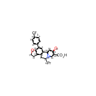 CC(C)C1Cc2c(cc(-c3ccc(C(F)(F)F)cc3)c3c2CCO3)-c2cc(=O)c(C(=O)O)cn21